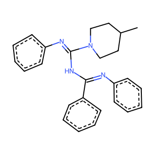 CC1CCN(/C(=N/c2ccccc2)N/C(=N/c2ccccc2)c2ccccc2)CC1